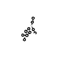 c1ccc(-c2ccc(-c3nc(-c4ccc(-c5ccccc5)cc4)n(-c4ccc(-c5ccccc5-c5ccccc5-c5ccc6c(c5)c5ccccc5n6-c5ccccc5)cc4)n3)cc2)cc1